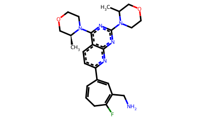 CC1COCCN1c1nc(N2CCOC[C@@H]2C)c2ccc(C3=CC(CN)=C(F)CC=C3)nc2n1